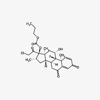 CCCOC(=O)O[C@]1(C(=O)CCl)[C@@H](C)C[C@H]2[C@@H]3CC(=O)C4=CC(=O)C=C[C@]4(C)[C@@]3(F)[C@@H](O)C[C@@]21C